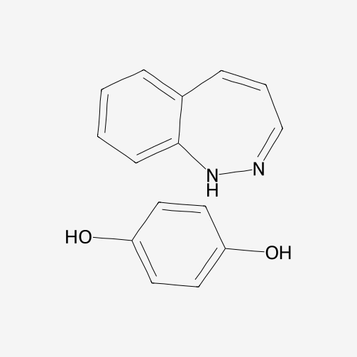 C1=Cc2ccccc2NN=C1.Oc1ccc(O)cc1